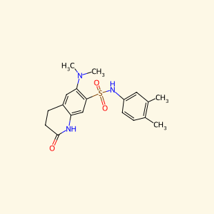 Cc1ccc(NS(=O)(=O)c2cc3c(cc2N(C)C)CCC(=O)N3)cc1C